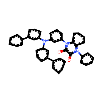 O=c1c(=O)n(-c2cccc(N(c3cccc(-c4ccccc4)c3)c3cccc(-c4ccccc4)c3)c2)c2ccccc2n1-c1ccccc1